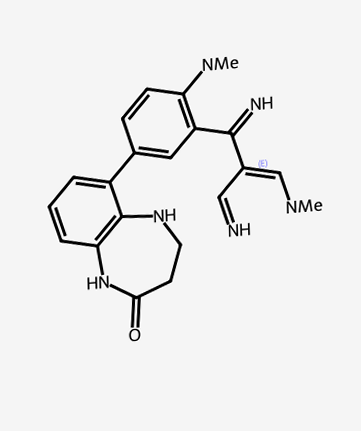 CN/C=C(\C=N)C(=N)c1cc(-c2cccc3c2NCCC(=O)N3)ccc1NC